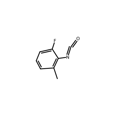 Cc1cccc(F)c1N=C=O